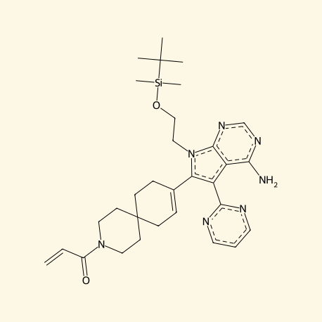 C=CC(=O)N1CCC2(CC=C(c3c(-c4ncccn4)c4c(N)ncnc4n3CCO[Si](C)(C)C(C)(C)C)CC2)CC1